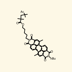 CCCCN1C(=O)c2ccc3c4c(C)cc5c6c(ccc(c7c(C)cc(c2c37)C1=O)c64)C(=O)N(CCCCCOC(=O)C(C)(C)CC(C)(C)C(C)=O)C5=O